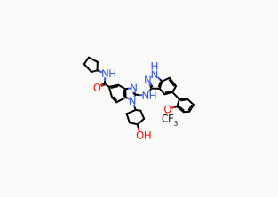 O=C(NC1CCCC1)c1ccc2c(c1)nc(Nc1n[nH]c3ccc(-c4ccccc4OC(F)(F)F)cc13)n2C1CCC(O)CC1